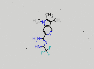 Cc1c(C)n(C)c2cc(/C(N)=N/C(=N)C(F)(F)F)ncc12